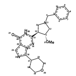 CO[C@H]1CN(Cc2ccccc2)C[C@@H]1c1nn2c(C3CCOCC3)ncc2c(=O)[nH]1